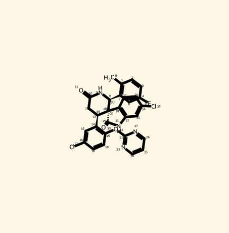 Cc1ccc(F)cc1[C@@H]1NC(=O)C[C@H](c2cc(Cl)ccc2Oc2ncccn2)[C@@]12C(=O)Nc1cc(Cl)ccc12